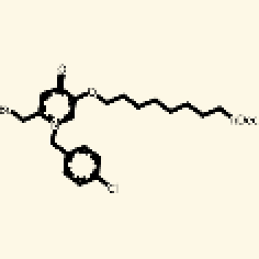 CCCCCCCCCCCCCCCCCCOc1cn(Cc2ccc(Cl)cc2)c(CBr)cc1=O